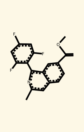 C=C(OC)c1ccc2cc(C)nc(-c3c(F)cc(F)cc3F)c2c1